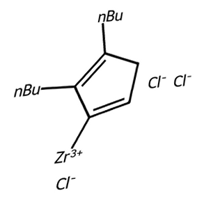 CCCCC1=C(CCCC)[C]([Zr+3])=CC1.[Cl-].[Cl-].[Cl-]